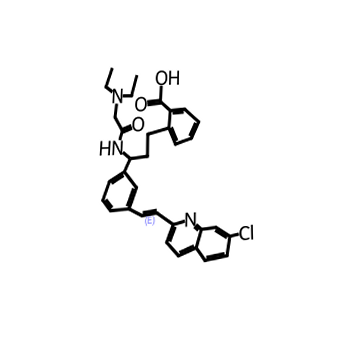 CCN(CC)CC(=O)NC(CCc1ccccc1C(=O)O)c1cccc(/C=C/c2ccc3ccc(Cl)cc3n2)c1